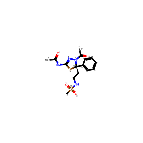 CC(C)C(=O)N1N=C(NC(=O)C(C)(C)C)S[C@@]1(CCNS(C)(=O)=O)c1ccccc1